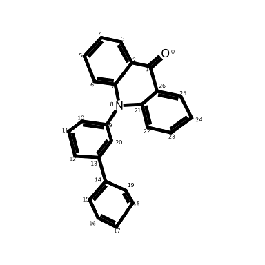 O=c1c2ccccc2n(-c2cccc(-c3ccccc3)c2)c2ccccc12